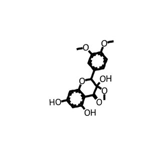 COc1ccc(C2Oc3cc(O)cc(O)c3C(=O)C2(O)OC)cc1OC